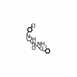 NC(COCc1ccccc1)C(=O)NCC1CCN(Cc2ccc(Cl)cc2)CC1